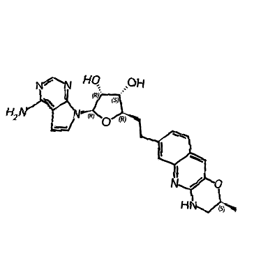 C[C@H]1CNc2nc3cc(CC[C@H]4O[C@@H](n5ccc6c(N)ncnc65)[C@H](O)[C@@H]4O)ccc3cc2O1